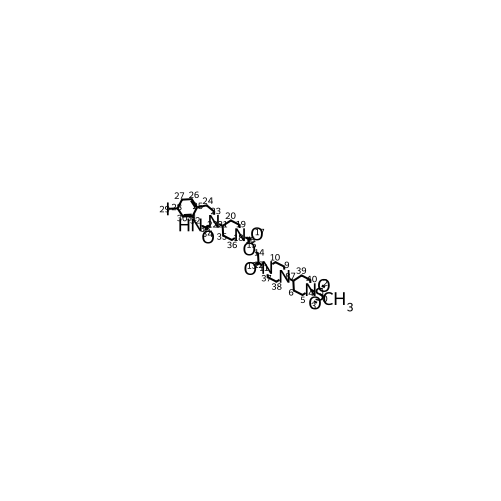 CS(=O)(=O)N1CCC(N2CCN(C(=O)COC(=O)N3CCC(N4CCC5=CCC(I)C=C5NC4=O)CC3)CC2)CC1